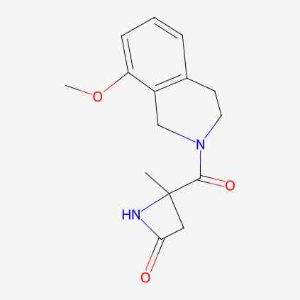 COc1cccc2c1CN(C(=O)C1(C)CC(=O)N1)CC2